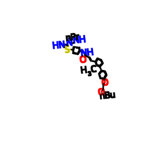 CCCCOCCOc1ccc(-c2cccc(/C=C/C(=O)Nc3ccc(SC(=N)N(C=N)CCC)cc3)c2C)cc1